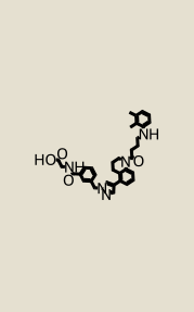 Cc1cccc(NCCCC(=O)N2CCCc3c(-c4cnn(Cc5cccc(C(=O)NCC(=O)O)c5)c4)cccc32)c1C